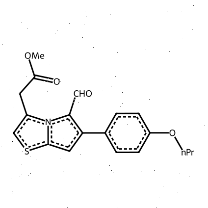 CCCOc1ccc(-c2cc3scc(CC(=O)OC)n3c2C=O)cc1